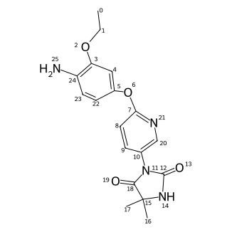 CCOc1cc(Oc2ccc(N3C(=O)NC(C)(C)C3=O)cn2)ccc1N